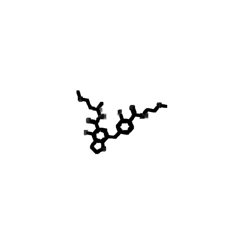 COCCNC(=O)c1ccc(Cc2cc(C(=O)N[C@H](C)CCOC)c(F)c3c2OCC3)cc1F